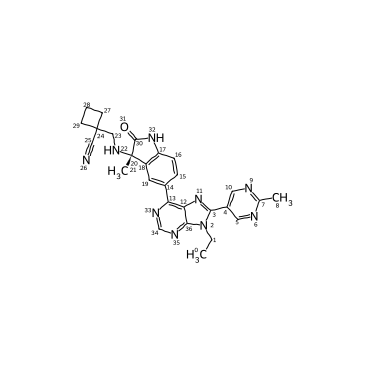 CCn1c(-c2cnc(C)nc2)nc2c(-c3ccc4c(c3)[C@](C)(NCC3(C#N)CCC3)C(=O)N4)ncnc21